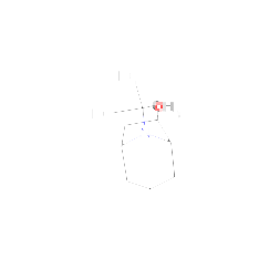 CC1CC2CCCC1N2C(C)(C)C